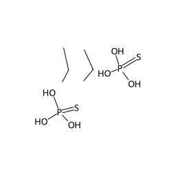 CCC.CCC.OP(O)(O)=S.OP(O)(O)=S